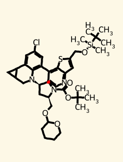 CC(C)(C)OC(=O)N1C[C@H](N2CC3CC3c3cc(Cl)cc(-c4ccnc5cc(CO[Si](C)(C)C(C)(C)C)sc45)c32)C[C@@H]1COC1CCCCO1